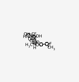 Cc1cc(-c2ccc(OP(=O)(N[C@@H](C)C(=O)OC(C)C)OC[C@H]3O[C@@H](n4ccc(=O)[nH]c4=O)[C@](C)(F)[C@@H]3O)cc2)ccc1F